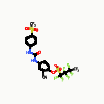 N#Cc1cc(NC(=O)Nc2ccc(S(=O)(=O)C(F)(F)F)cc2)ccc1OS(=O)(=O)C(F)(F)C(F)(F)C(F)(F)C(F)(F)F